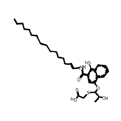 CCCCCCCCCCCCCCCCNC(=O)c1cc(OC(SCC(=O)O)C(C)O)c2ccccc2c1O